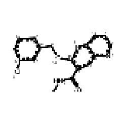 CNC(=O)c1cc2ncccc2nc1OCc1cccc(Cl)c1